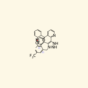 C=C(/C=C(\C=C(/C)C(F)(F)F)CN1NNC(c2ncccc2C(=O)C2C=CC=CC2Cl)=C1c1ccncc1)C(F)(F)F